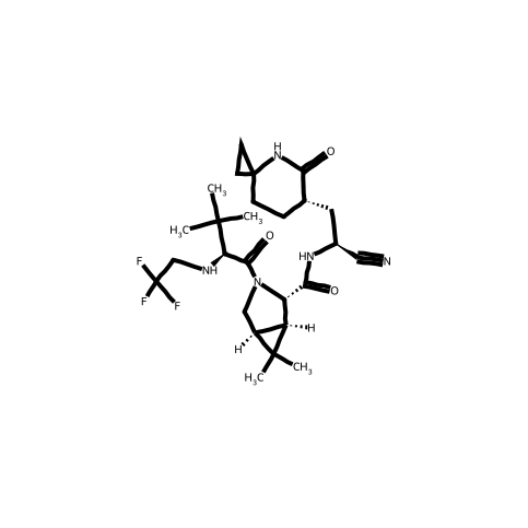 CC(C)(C)[C@H](NCC(F)(F)F)C(=O)N1C[C@H]2[C@@H]([C@H]1C(=O)N[C@H](C#N)C[C@@H]1CCC3(CC3)NC1=O)C2(C)C